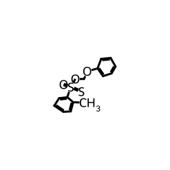 Cc1ccccc1S(=O)(=S)OCOc1ccccc1